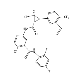 C=Cc1cc([C@H]2[C@H](C(=O)Nc3ccc(Cl)c(C(=O)Nc4ccc(F)cc4F)c3)C2(Cl)Cl)ccc1C(F)(F)F